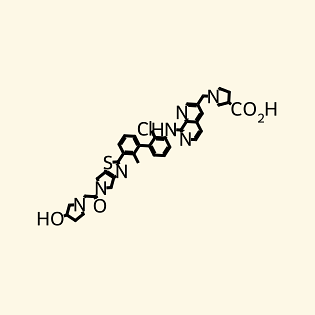 Cc1c(-c2nc3c(s2)CN(C(=O)CN2CCC(O)C2)C3)cccc1-c1cccc(Nc2nccc3cc(CN4CCC(C(=O)O)C4)cnc23)c1Cl